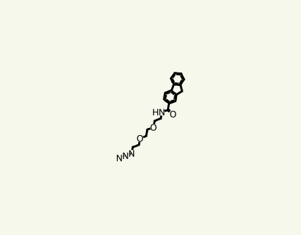 [N-]=[N+]=NCCOCCOCCNC(=O)c1ccc2c(c1)Cc1ccccc1-2